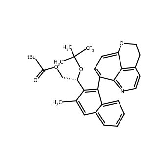 Cc1cc2ccccc2c(-c2ccc3c4c(ccnc24)CCO3)c1[C@H](COC(=O)C(C)(C)C)OC(C)(C)C(F)(F)F